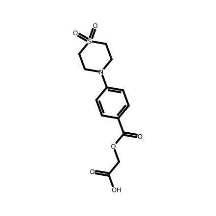 O=C(O)COC(=O)c1ccc(N2CCS(=O)(=O)CC2)cc1